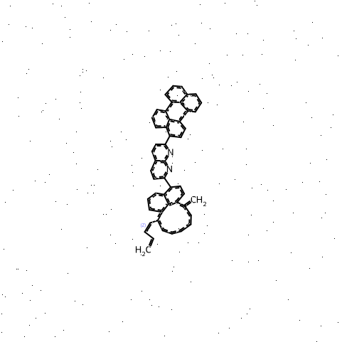 C=C/C=C\c1cccccc(=C)c2ccc(-c3ccc4ccc(-c5ccc6c7cccc8cccc(c9cccc5c96)c87)nc4n3)c3cccc1c32